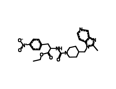 CCOC(=O)C(Cc1ccc([N+](=O)[O-])cc1)NC(=O)N1CCC(Cn2c(C)nc3cnccc32)CC1